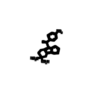 O=C(c1ccc([N+](=O)[O-])cc1)n1c2c(c3ccccc31)CC(C(=O)O)(C(=O)O)CC2